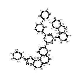 c1ccc(-c2cccc(-c3nc(-c4ccc5c(ccc6ccc7nn(-c8ccccc8)nc7c65)c4)nc(-c4cccc5oc6ccccc6c45)n3)c2)cc1